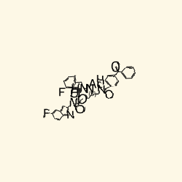 CC(=O)N(NCc1cccc(F)c1Cl)[C@@H](CNC(=O)c1ccc(C(=O)c2ccccc2)cc1)COC(=O)Nc1cc2cc(F)ccc2cn1